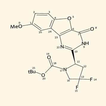 COc1ccc2oc3c(=O)[nH]c([C@H]4CC(F)(F)CN4C(=O)OC(C)(C)C)nc3c2c1